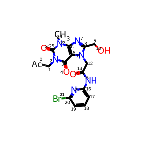 CC(=O)Cn1c(=O)c2c(nc(CO)n2CC(=O)Nc2cccc(Br)n2)n(C)c1=O